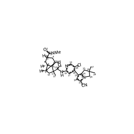 CNC(=O)[C@@H]1C[C@@H]2C3[C@H](C1)[C@H]2CC3(C)C(=O)Nc1cc(-c2cc(C#N)n3c2CC(C)(C)C3)c(Cl)cn1